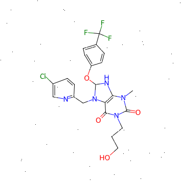 Cn1c2c(c(=O)n(CCCO)c1=O)N(Cc1ccc(Cl)cn1)C(Oc1ccc(C(F)(F)F)cc1)N2